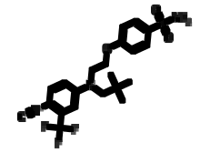 [C-]#[N+]c1ccc(N(CCOc2ccc(S(N)(=O)=O)cc2)CC(C)(C)C)cc1C(F)(F)F